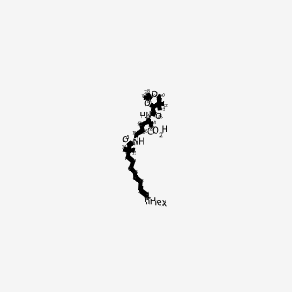 CCCCCCC=CCCCCCCC(C)(C)C(=O)NCCCC(CC(=O)O)NC(=O)C1OC(C)(C)OCC1(C)C